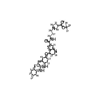 Cc1ccc(F)c(NC(=O)Nc2ccc(Oc3ccnc4cc(C(=O)NCCCN5CCC(C(=O)OC(C)(C)C)C5)sc34)cc2F)c1